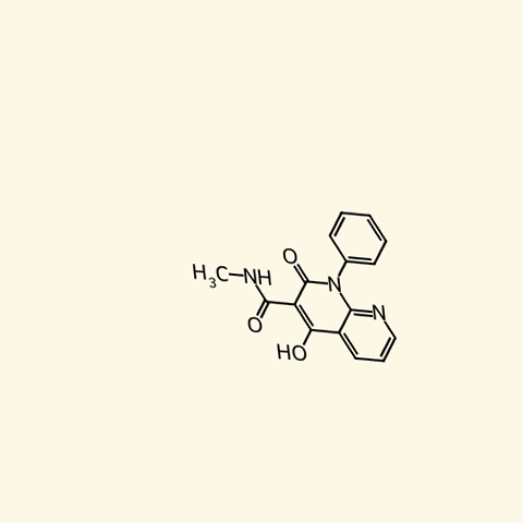 CNC(=O)c1c(O)c2cccnc2n(-c2ccccc2)c1=O